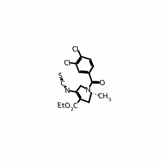 CCOC(=O)C1=C(N=C=S)CN(C(=O)c2ccc(Cl)c(Cl)c2)[C@H](C)C1